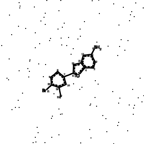 Bc1ccc2oc(-c3ccc(Br)c(F)c3)cc2c1